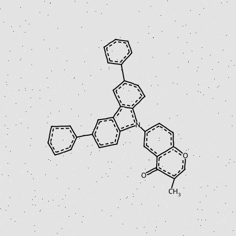 Cc1coc2ccc(-n3c4ccc(-c5ccccc5)cc4c4cc(-c5ccccc5)ccc43)cc2c1=O